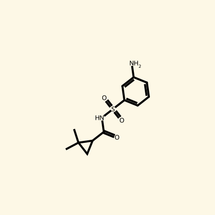 CC1(C)CC1C(=O)NS(=O)(=O)c1cccc(N)c1